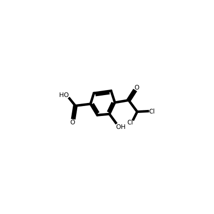 O=C(O)c1ccc(C(=O)C(Cl)Cl)c(O)c1